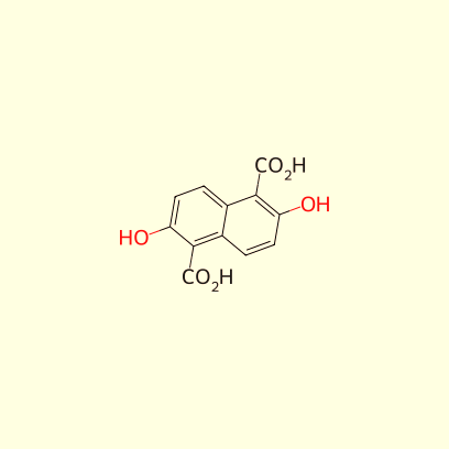 O=C(O)c1c(O)ccc2c(C(=O)O)c(O)ccc12